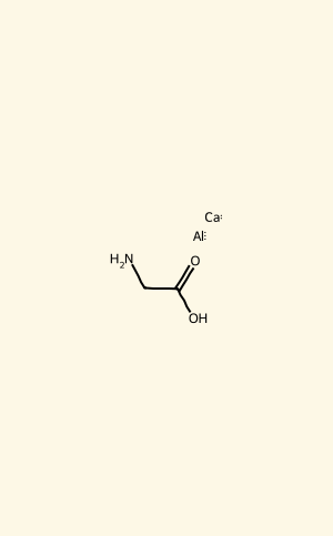 NCC(=O)O.[Al].[Ca]